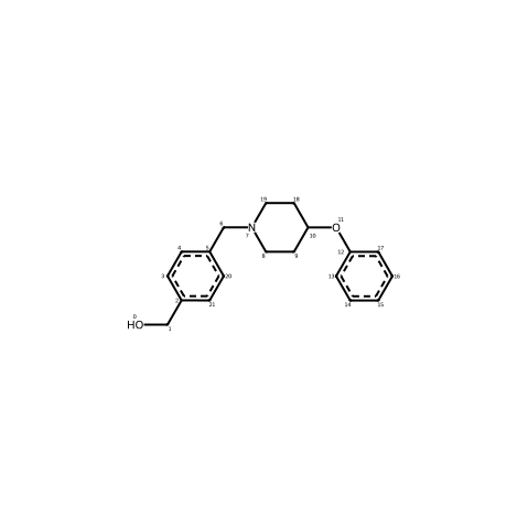 OCc1ccc(CN2CCC(Oc3ccccc3)CC2)cc1